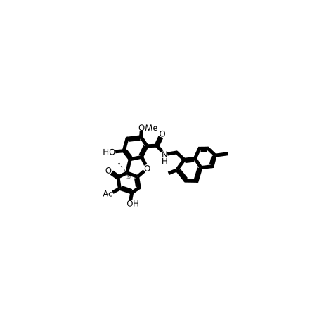 COc1cc(O)c2c(c1C(=O)NCc1c(C)ccc3cc(C)ccc13)OC1=CC(O)=C(C(C)=O)C(=O)[C@]12C